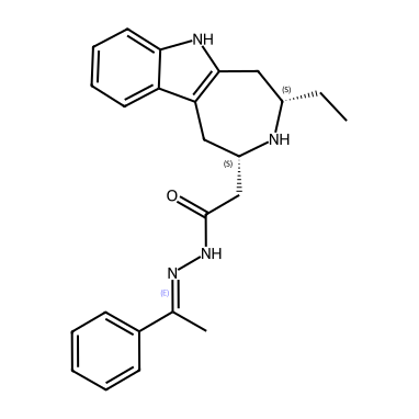 CC[C@H]1Cc2[nH]c3ccccc3c2C[C@@H](CC(=O)N/N=C(\C)c2ccccc2)N1